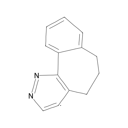 [c]1cnnc2c1CCCc1ccccc1-2